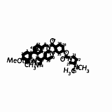 COc1ccc(C23CCC(CN(C(=O)C4CCC(OC(=O)N5CCC(N(C)C)C5)CC4)c4cc(-c5cnn(C(C)(C)C)c5)ccn4)(CC2)CC3)cc1C